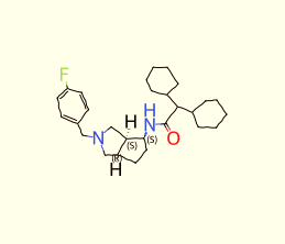 O=C(N[C@H]1CC[C@H]2CN(Cc3ccc(F)cc3)C[C@H]21)C(C1CCCCC1)C1CCCCC1